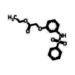 CCOC(=O)COc1cccc(NS(=O)(=O)c2ccccc2)c1